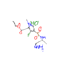 CCOC(=O)c1c(F)c(S(=O)(=O)NC(C)CN)cn1C.Cl